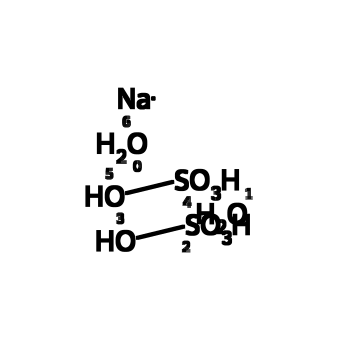 O.O.O=S(=O)(O)O.O=S(=O)(O)O.[Na]